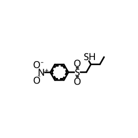 CCC(S)CS(=O)(=O)c1ccc([N+](=O)[O-])cc1